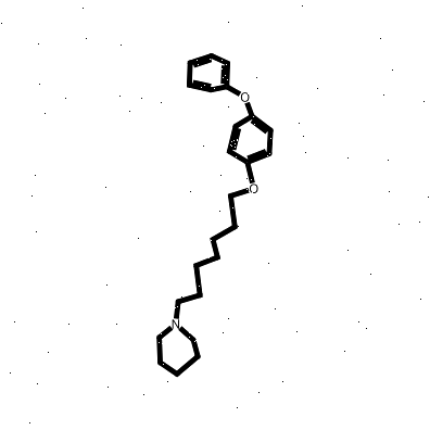 c1ccc(Oc2ccc(OCCCCCCCN3CCCCC3)cc2)cc1